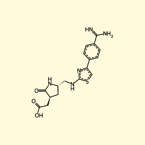 N=C(N)c1ccc(-c2csc(NC[C@@H]3C[C@@H](CC(=O)O)C(=O)N3)n2)cc1